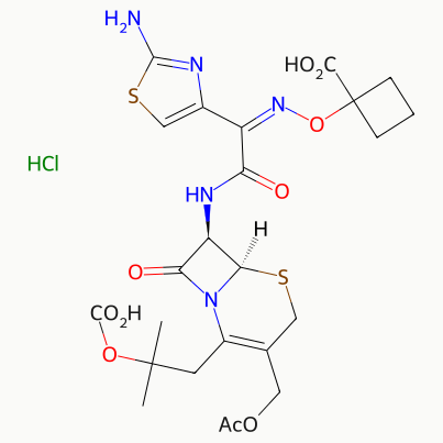 CC(=O)OCC1=C(CC(C)(C)OC(=O)O)N2C(=O)[C@@H](NC(=O)/C(=N\OC3(C(=O)O)CCC3)c3csc(N)n3)[C@H]2SC1.Cl